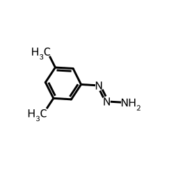 Cc1cc(C)cc(N=NN)c1